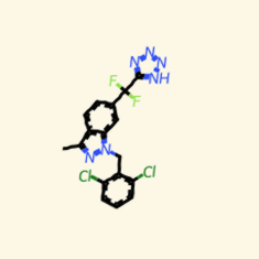 Cc1nn(Cc2c(Cl)cccc2Cl)c2cc(C(F)(F)c3nnn[nH]3)ccc12